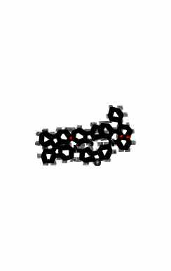 c1ccc(-c2ccccc2-c2ccccc2N(c2ccccc2)c2ccc3oc4ccc(N(c5ccc6c(c5)C5(c7ccccc7-c7ccccc75)c5ccccc5-6)c5cccc6c5sc5ccccc56)cc4c3c2)cc1